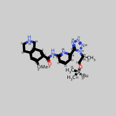 COc1cc2c(cc1C(=O)Nc1cccc(-c3nnnn3[C@H](C)CO[Si](C)(C)C(C)(C)C)n1)CNCC2